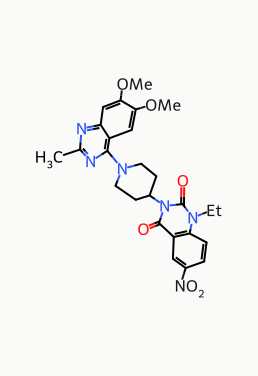 CCn1c(=O)n(C2CCN(c3nc(C)nc4cc(OC)c(OC)cc34)CC2)c(=O)c2cc([N+](=O)[O-])ccc21